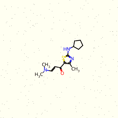 Cc1nc(NC2CCCC2)sc1C(=O)C=CN(C)C